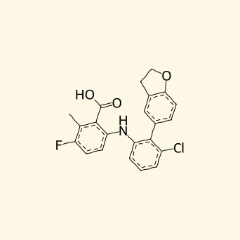 Cc1c(F)ccc(Nc2cccc(Cl)c2-c2ccc3c(c2)CCO3)c1C(=O)O